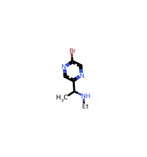 CCNC(C)c1cnc(Br)cn1